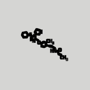 C/C=C/C(=O)NCC#Cc1ccc(OCc2nnc(SC3C=CCCC3)n2-c2cccnc2)cc1C